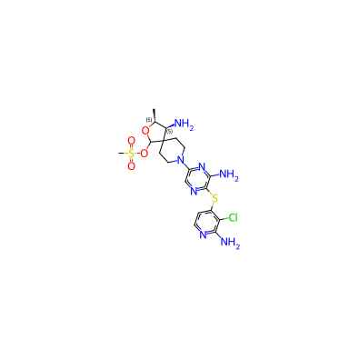 C[C@@H]1OC(OS(C)(=O)=O)C2(CCN(c3cnc(Sc4ccnc(N)c4Cl)c(N)n3)CC2)[C@@H]1N